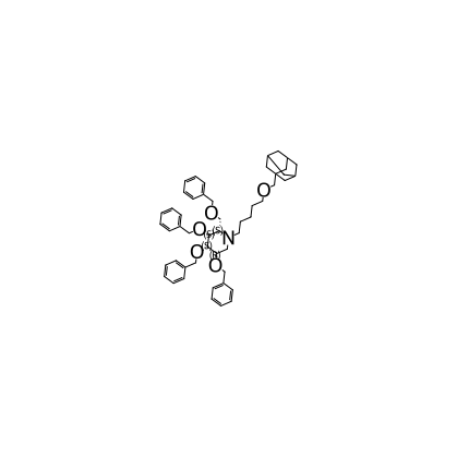 c1ccc(COC[C@H]2[C@H](OCc3ccccc3)[C@@H](OCc3ccccc3)[C@H](OCc3ccccc3)CN2CCCCCOCC23CC4CC(CC(C4)C2)C3)cc1